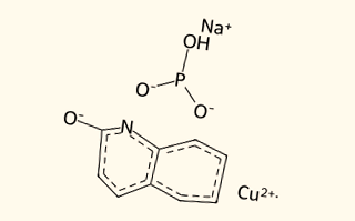 [Cu+2].[Na+].[O-]P([O-])O.[O-]c1ccc2ccccc2n1